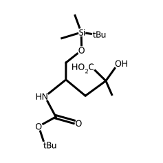 CC(C)(C)OC(=O)NC(CO[Si](C)(C)C(C)(C)C)CC(C)(O)C(=O)O